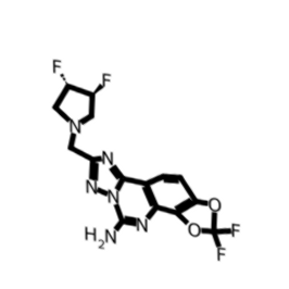 Nc1nc2c3c(ccc2c2nc(CN4C[C@H](F)[C@@H](F)C4)nn12)OC(F)(F)O3